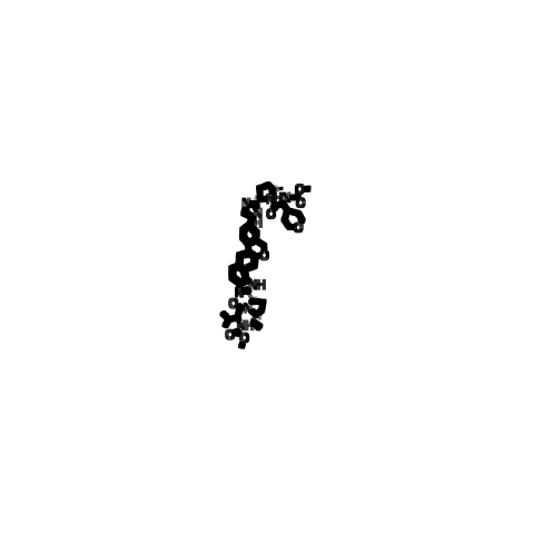 C=C[C@H]1CC[C@@H](c2nc3ccc4cc5c(cc4c3[nH]2)OCc2cc(-c3cnc([C@@H]4CC[C@H](C)N4C(=O)[C@@H](NC(=O)OC)C4CCOCC4)[nH]3)ccc2-5)N1C(=O)C(NC(=O)OC)C(C)C